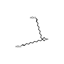 CCCCCCCCC=CCCCCCCCCC1(CCCCCCCCC=CCCCCCCCC)CN(C)C1